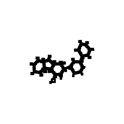 Clc1nc(-c2cccc(-c3ccccc3)c2)nc2sc3ccccc3c12